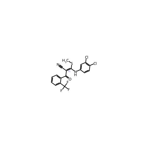 CS/C(Nc1ccc(Cl)c(Cl)c1)=C(\C#N)C(=O)c1ccccc1C(F)(F)F